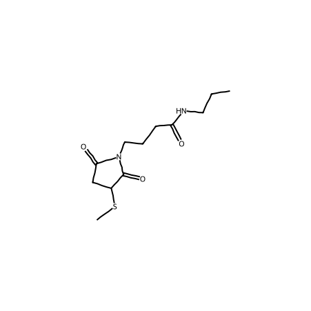 CCCNC(=O)CCCN1C(=O)CC(SC)C1=O